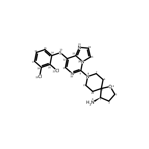 N[C@@H]1CCOC12CCN(c1ncc(Sc3cccc(Cl)c3Cl)c3nccn13)CC2